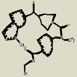 CCOC(=O)c1ccc(N(C)C(=O)N2CCC(C(=O)c3ccc4cnn(C)c4c3)CC2)cc1